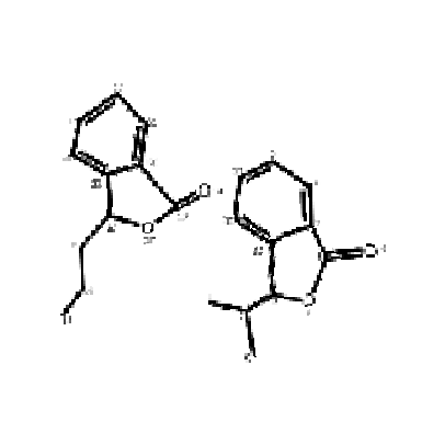 CC(C)C1OC(=O)c2ccccc21.CCCC1OC(=O)c2ccccc21